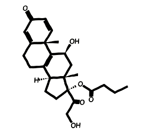 CCCC(=O)O[C@]1(C(=O)CO)CC[C@H]2C3=C([C@@H](O)C[C@@]21C)[C@@]1(C)C=CC(=O)C=C1CC3